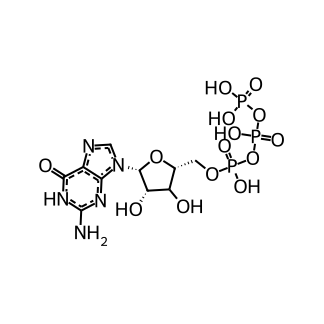 Nc1nc2c(ncn2[C@@H]2O[C@H](COP(=O)(O)OP(=O)(O)OP(=O)(O)O)C(O)[C@@H]2O)c(=O)[nH]1